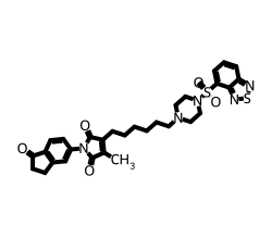 CC1=C(CCCCCCN2CCN(S(=O)(=O)c3cccc4nsnc34)CC2)C(=O)N(c2ccc3c(c2)CCC3=O)C1=O